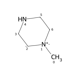 C[N+]1[CH]CNCC1